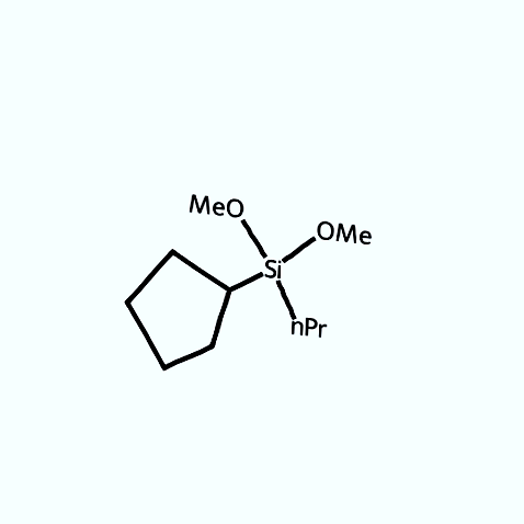 CCC[Si](OC)(OC)C1CCCC1